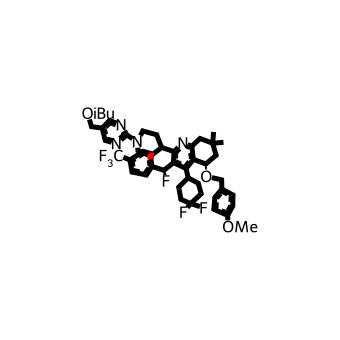 COc1ccc(CO[C@H]2CC(C)(C)Cc3nc(C4CCN(c5ncc(COCC(C)C)cn5)CC4)c([C@@H](F)c4ccc(C(F)(F)F)cc4)c(C4CCC(F)(F)CC4)c32)cc1